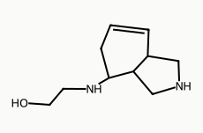 OCCNC1CC=CC2CNCC21